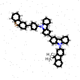 CC1(C)c2ccccc2-c2ccc(-n3c4ccccc4c4cc(-c5ccc6c(c5)c5ccccc5n6-c5ccc(-c6ccc7sc8ccccc8c7c6)cc5)ccc43)cc21